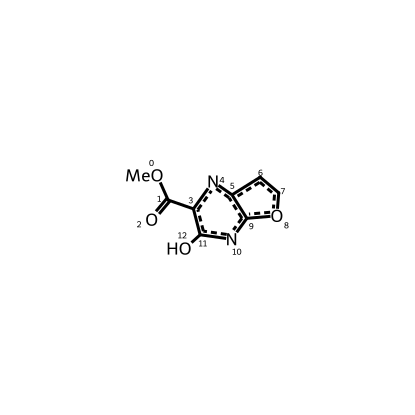 COC(=O)c1nc2ccoc2nc1O